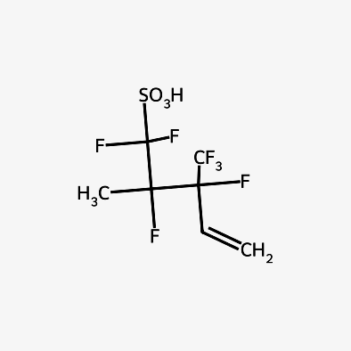 C=CC(F)(C(F)(F)F)C(C)(F)C(F)(F)S(=O)(=O)O